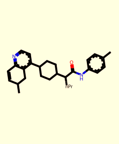 CCCC(C(=O)Nc1ccc(C)cc1)C1CCC(c2ccnc3c2CC(C)C=C3)CC1